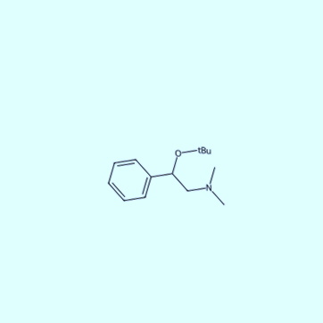 CN(C)CC(OC(C)(C)C)c1ccccc1